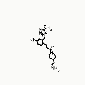 Cc1nnn(Cc2cc(Cl)ccc2C=CC(=O)N2CCC(CCN)CC2)n1